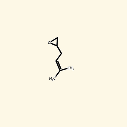 CC(C)=CCC1CO1